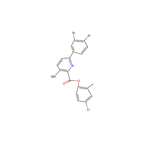 Cc1cc(Cl)ccc1OC(=O)c1nc(-c2ccc(Br)c(Br)c2)ccc1N=O